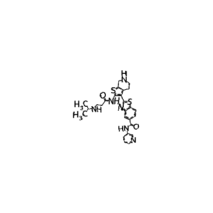 CC(C)NCCC(=O)Nc1sc2c(c1-c1nc3cc(C(=O)Nc4cccnc4)ccc3s1)CCNC2